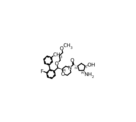 COCCCOC(c1cccc(F)c1-c1cccc(C)c1)[C@H]1CN(C(=O)[C@H]2C[C@@H](N)[C@@H](O)C2)CCO1